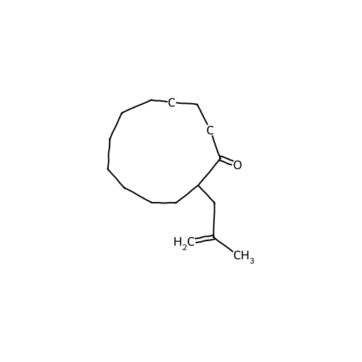 C=C(C)CC1CCCCCCCCCCC1=O